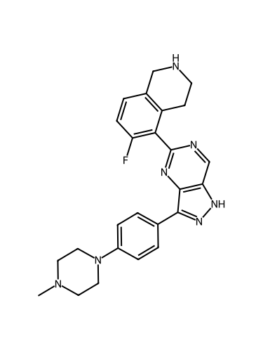 CN1CCN(c2ccc(-c3n[nH]c4cnc(-c5c(F)ccc6c5CCNC6)nc34)cc2)CC1